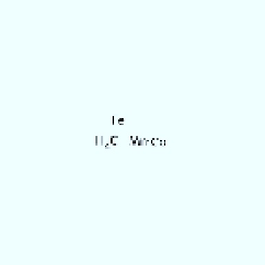 C.[Co].[Fe].[Mn]